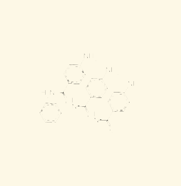 NC(=O)c1ccc(N)cc1.NC(=O)c1ccc(N)cc1.NC(=O)c1ccc(N)cc1.c1ccccc1